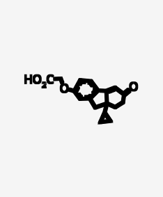 O=C(O)COc1ccc2c(c1)CC1(C3CC3)CCC(=O)C=C21